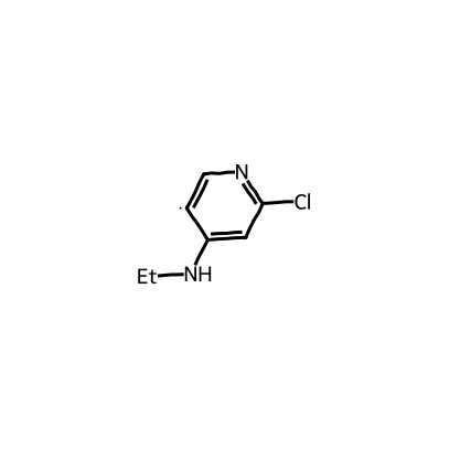 CCNc1[c]cnc(Cl)c1